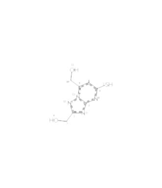 OCc1nc2nc(S)cc(CO)n2n1